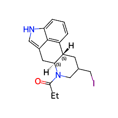 CCC(=O)N1CC(CI)C[C@H]2c3cccc4[nH]cc(c34)C[C@@H]21